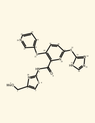 COCc1csc(NC(=O)c2nc(Sc3nnc[nH]3)ccc2Sc2cccnc2)n1